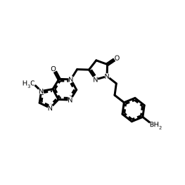 Bc1ccc(CCN2N=C(Cn3cnc4ncn(C)c4c3=O)CC2=O)cc1